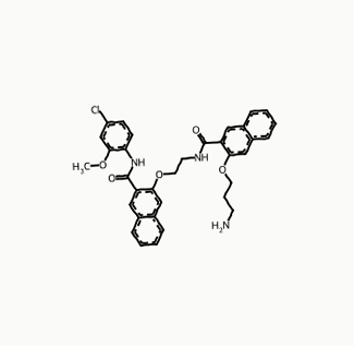 COc1cc(Cl)ccc1NC(=O)c1cc2ccccc2cc1OCCNC(=O)c1cc2ccccc2cc1OCCCN